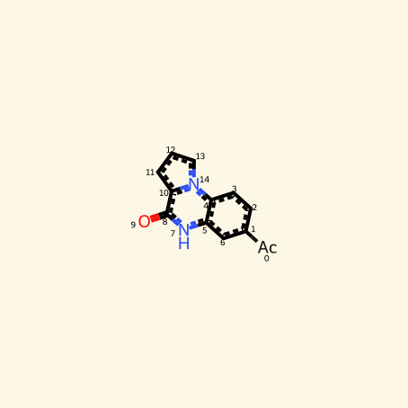 CC(=O)c1ccc2c(c1)[nH]c(=O)c1cccn12